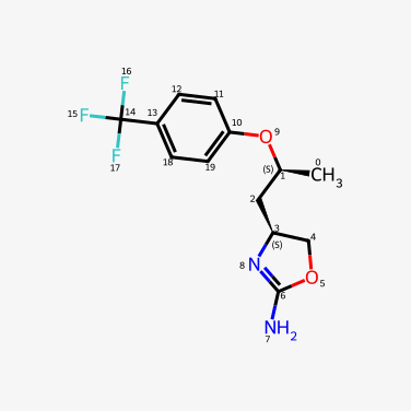 C[C@@H](C[C@H]1COC(N)=N1)Oc1ccc(C(F)(F)F)cc1